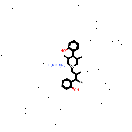 N.N.N.[CH2]C(C)C(c1ccccc1O)C(C)[CH2][Co]1[CH2]C(C)C(c2ccccc2O)C(C)[CH2]1